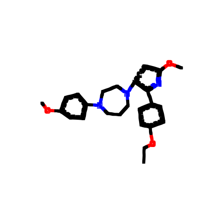 CCOc1ccc(-c2nc(OC)ccc2N2CCCN(c3ccc(OC)cc3)CC2)cc1